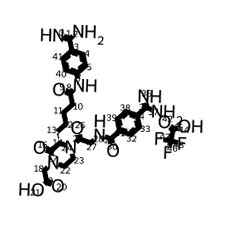 N=C(N)c1ccc(NC(=O)CCCC[C@H]2C(=O)N(CC(=O)O)CCN2C(=O)CNC(=O)c2ccc(C(=N)N)cc2)cc1.O=C(O)C(F)(F)F